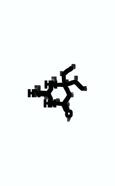 CCC1(CC)CC(=O)NC(=N)N1